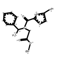 CCCc1cnc(C(=O)N(CC(=O)OC(C)(C)C)C(C)c2ccccc2)[nH]1